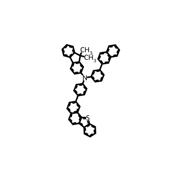 CC1(C)c2ccccc2-c2ccc(N(c3ccc(-c4ccc5ccc6c7ccccc7sc6c5c4)cc3)c3cccc(-c4ccc5ccccc5c4)c3)cc21